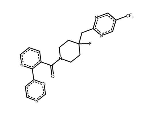 O=C(c1cccnc1-c1ccncn1)N1CCC(F)(Cc2ncc(C(F)(F)F)cn2)CC1